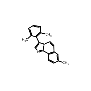 Cc1ccc2c(ccn3c(-c4c(C)cccc4C)cnc23)c1